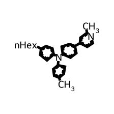 CCCCCCc1ccc(N(c2ccc(C)cc2)c2ccc(-c3ccnc(C)c3)cc2)cc1